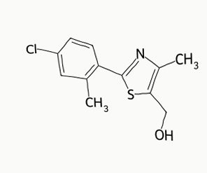 Cc1cc(Cl)ccc1-c1nc(C)c(CO)s1